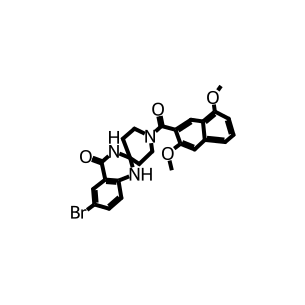 COc1cc2cccc(OC)c2cc1C(=O)N1CCC2(CC1)NC(=O)c1cc(Br)ccc1N2